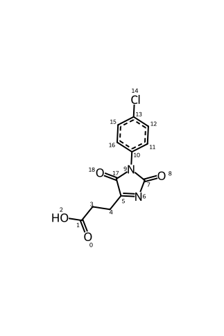 O=C(O)CCC1=NC(=O)N(c2ccc(Cl)cc2)C1=O